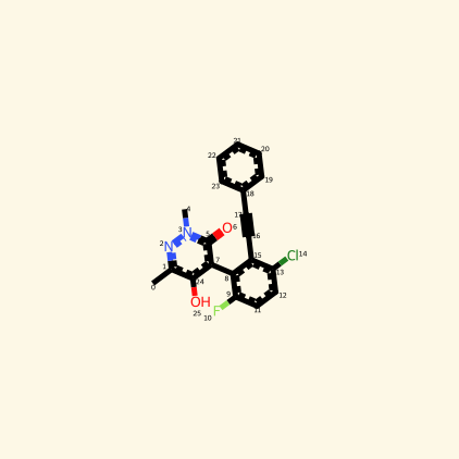 Cc1nn(C)c(=O)c(-c2c(F)ccc(Cl)c2C#Cc2ccccc2)c1O